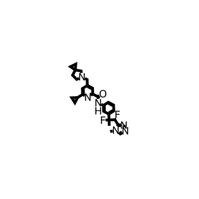 Cn1cnnc1[C@@H](F)C(C)(F)c1cccc(NC(=O)c2cc(CN3CCC4(CC4)C3)cc(C3CC3)n2)c1